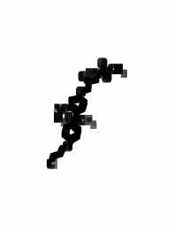 CC(C)(c1ccc(OCCCCl)cc1)c1ccc(OCC(=O)CNS(C)(=O)=O)cc1C#N